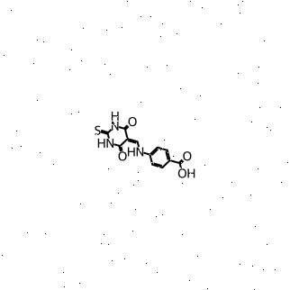 O=C1NC(=S)NC(=O)C1=CNc1ccc(C(=O)O)cc1